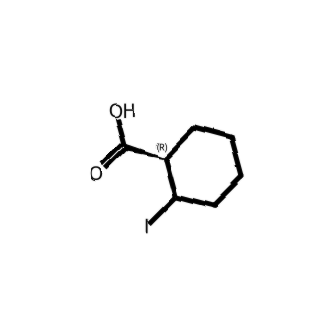 O=C(O)[C@H]1CCCCC1I